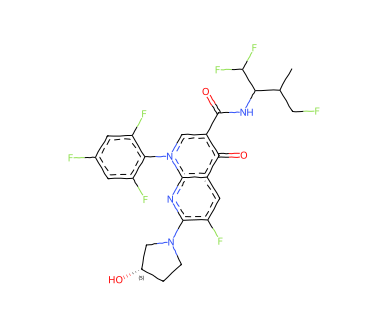 CC(CF)C(NC(=O)c1cn(-c2c(F)cc(F)cc2F)c2nc(N3CC[C@H](O)C3)c(F)cc2c1=O)C(F)F